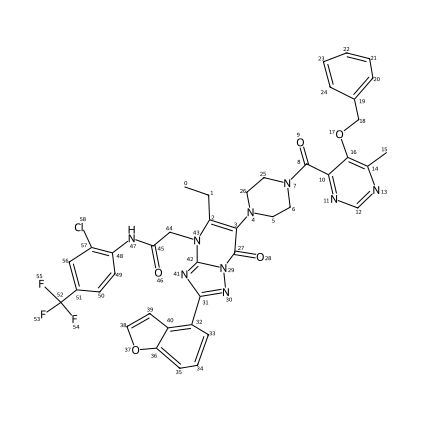 CCc1c(N2CCN(C(=O)c3ncnc(C)c3OCc3ccccc3)CC2)c(=O)n2nc(-c3cccc4occc34)nc2n1CC(=O)Nc1ccc(C(F)(F)F)cc1Cl